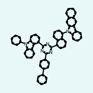 c1ccc(-c2ccc(-c3nc(-c4cccc5c(-n6c7ccccc7c7cc8ccccc8cc76)cccc45)nc(-c4cccc5c4c4ccccc4n5-c4ccccc4)n3)cc2)cc1